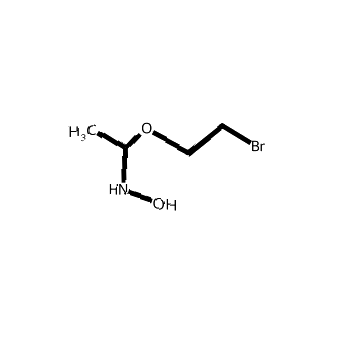 CC(NO)OCCBr